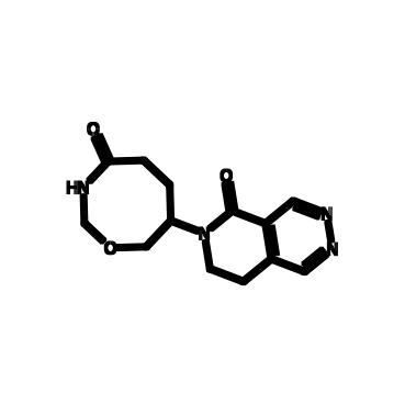 O=C1CCC(N2CCc3cnncc3C2=O)COCN1